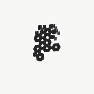 Bc1c(B)c(B)c(-c2c3ccccc3c(-c3ccc4oc5ccccc5c4c3-c3ccc(-c4ccccc4)cc3)c3ccccc23)c(B)c1B